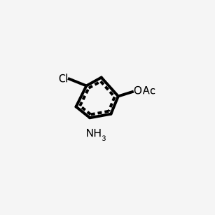 CC(=O)Oc1cccc(Cl)c1.N